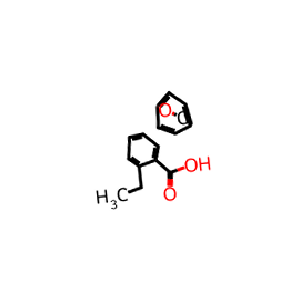 CCc1ccccc1C(=O)O.c1cc2ccc1CO2